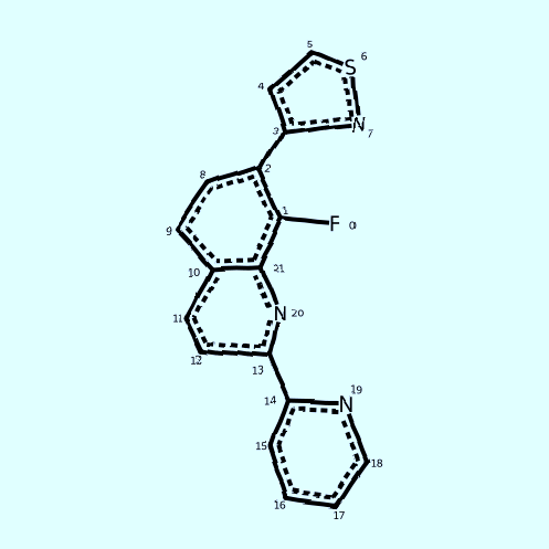 Fc1c(-c2ccsn2)ccc2ccc(-c3ccccn3)nc12